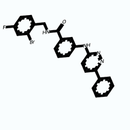 O=C(NCc1ccc(F)cc1Br)c1cccc(Nc2ccc(-c3ccccc3)nn2)c1